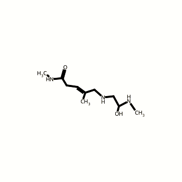 CNC(=O)C/C=C(\C)CNCC(O)NC